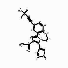 Cn1cc(-c2c(C(N)=O)nc3n2CCOc2ccc(C#CC(C)(C)O)cc2-3)cn1